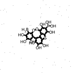 Bc1c(O)c(O)c(O)c2c1ooc1c(O)c(B(O)O)c(O)c3sc4c(O)c(O)c(O)c2c4c13